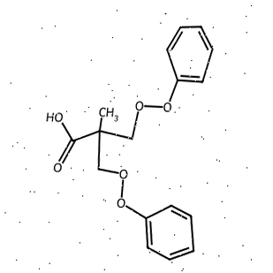 CC(COOc1ccccc1)(COOc1ccccc1)C(=O)O